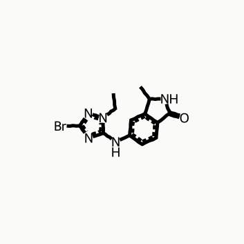 CCn1nc(Br)nc1Nc1ccc2c(c1)C(C)NC2=O